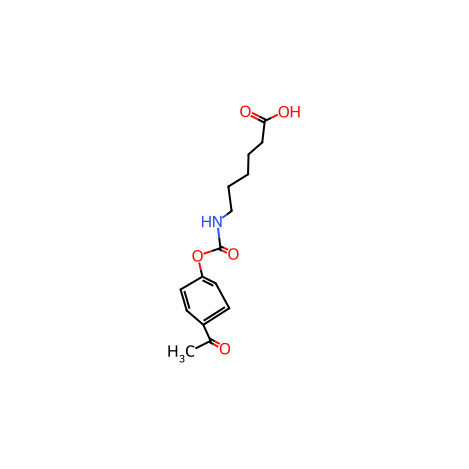 CC(=O)c1ccc(OC(=O)NCCCCCC(=O)O)cc1